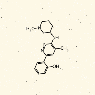 Cc1cc(-c2ccccc2O)nnc1N[C@@H]1CCCN(C)C1